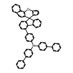 c1ccc(-c2ccc(N(c3ccc(-c4ccccc4)cc3)c3ccc(-c4cccc5c4-c4ccccc4C54c5ccccc5Oc5c4ccc4ccccc54)cc3)cc2)cc1